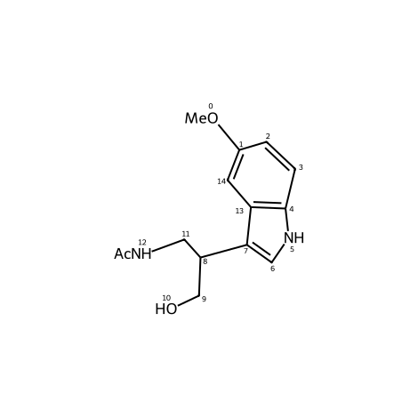 COc1ccc2[nH]cc(C(CO)CNC(C)=O)c2c1